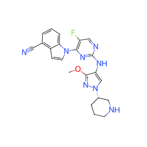 COc1nn([C@H]2CCCNC2)cc1Nc1ncc(F)c(-n2ccc3c(C#N)cccc32)n1